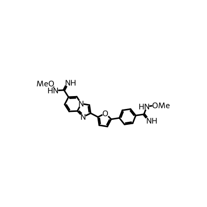 CONC(=N)c1ccc(-c2ccc(-c3cn4cc(C(=N)NOC)ccc4n3)o2)cc1